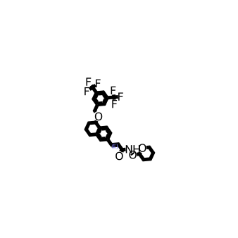 O=C(/C=C/c1ccc2c(c1)CCCC2OCc1cc(C(F)(F)F)cc(C(F)(F)F)c1)NOC1CCCCO1